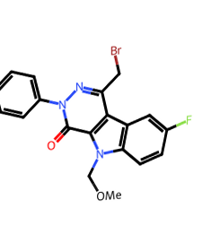 COCn1c2ccc(F)cc2c2c(CBr)nn(-c3ccccc3)c(=O)c21